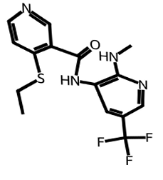 CCSc1ccncc1C(=O)Nc1cc(C(F)(F)F)cnc1NC